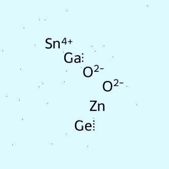 [Ga].[Ge].[O-2].[O-2].[Sn+4].[Zn]